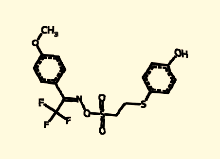 COc1ccc(C(=NOS(=O)(=O)CCSc2ccc(O)cc2)C(F)(F)F)cc1